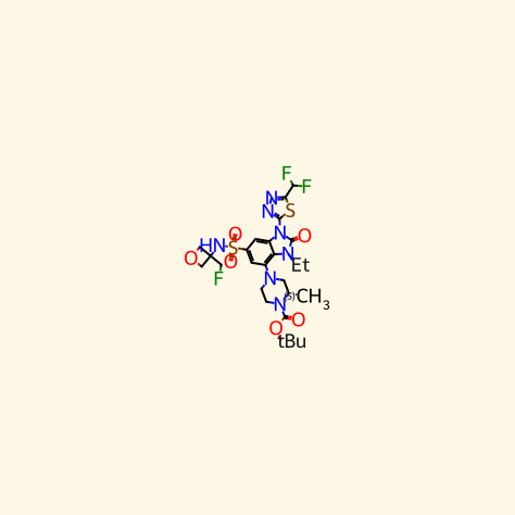 CCn1c(=O)n(-c2nnc(C(F)F)s2)c2cc(S(=O)(=O)NC3(CF)COC3)cc(N3CCN(C(=O)OC(C)(C)C)[C@@H](C)C3)c21